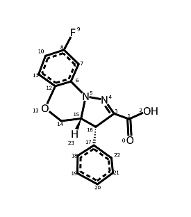 O=C(O)C1=NN2c3cc(F)ccc3OC[C@H]2[C@H]1c1ccccc1